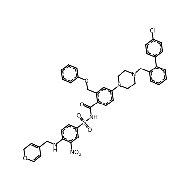 O=C(NS(=O)(=O)c1ccc(NCC2=CCOC=C2)c([N+](=O)[O-])c1)c1ccc(N2CCN(Cc3ccccc3-c3ccc(Cl)cc3)CC2)cc1COc1ccccc1